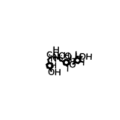 O=C(O)[C@H](Cc1ccc(O)cc1)NN[C@@H](Cc1cc(I)c(Oc2cc(I)c(O)c(I)c2)c(I)c1)C(=O)O